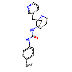 CSc1ccc(NC(=O)NC2C3CCN(CC3)C2Cc2cccnc2)cc1